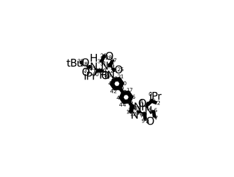 CC(C)[C@@H](C)C(=O)N1CCOC[C@H]1c1ncc(-c2ccc(-c3ccc(NC(=O)[C@@H]4COCCN4C(=O)[C@H](NC(=O)OC(C)(C)C)C(C)C)cc3)cc2)[nH]1